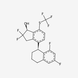 O[C@H]1c2c(SC(F)(F)F)ccc([C@@H]3CCCc4cc(F)cc(F)c43)c2CC1(F)F